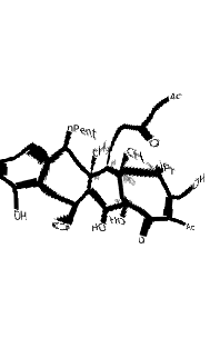 CCCCCC1c2cccc(O)c2C(=O)C2=C(O)[C@@]3(O)C(=O)C(C(C)=O)=C(O)C(C(C)C)[C@@]3(C)[C@H](CC(=O)CC(C)=O)[C@]21C